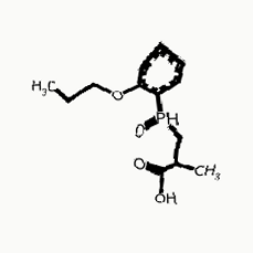 CCCOc1ccccc1[PH](=O)CC(C)C(=O)O